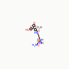 CC(C)C[C@H](NC(=O)CCCCCNC(=O)c1ccc(-c2c3ccc(=O)cc-3oc3cc(O)ccc23)c(C(=O)O)c1)C(=O)NCC(N)=O